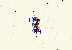 C=C1CCC(N2Cc3c(ccc(C[C@H]4OCCC[C@@H]4N[C@H](C)CC)c3F)C2=O)C(=O)N1